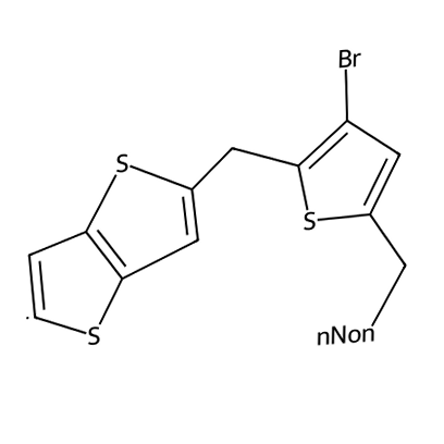 CCCCCCCCCCc1cc(Br)c(Cc2cc3s[c]cc3s2)s1